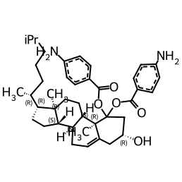 CC(C)CCC[C@@H](C)[C@H]1CC[C@H]2[C@@H]3CC=C4C[C@@H](O)CC(OC(=O)c5ccc(N)cc5)(OC(=O)c5ccc(N)cc5)[C@]4(C)[C@H]3CC[C@]12C